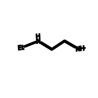 [CH2]CNCC[NH]